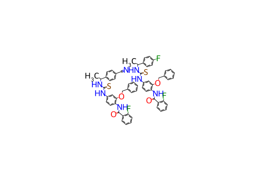 CC(NC(=S)Nc1ccc(NC(=O)c2ccccc2F)c(OCc2ccccc2)c1)c1ccc(C#N)cc1.CC(NC(=S)Nc1ccc(NC(=O)c2ccccc2F)c(OCc2ccccc2)c1)c1ccc(F)cc1